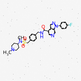 CN1CCC(N(C)S(=O)(=O)Cc2ccc(CNC(=O)c3cncc4c3cnn4-c3ccc(F)cc3)cc2)CC1